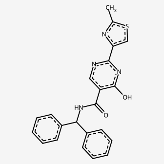 Cc1nc(-c2ncc(C(=O)NC(c3ccccc3)c3ccccc3)c(O)n2)cs1